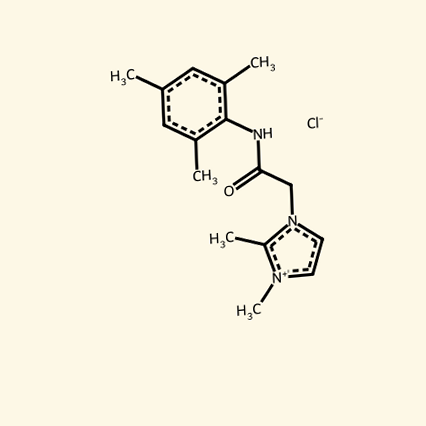 Cc1cc(C)c(NC(=O)Cn2cc[n+](C)c2C)c(C)c1.[Cl-]